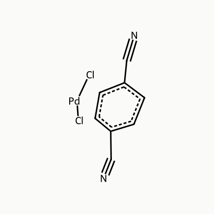 N#Cc1ccc(C#N)cc1.[Cl][Pd][Cl]